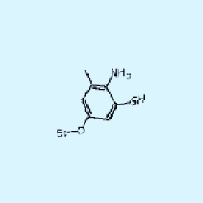 CCOc1cc(C)c(N)c(S)c1